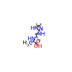 C[C@H](NCCNc1ncc[nH]1)C(=O)O